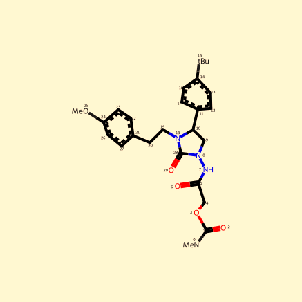 CNC(=O)OCC(=O)NN1CC(c2ccc(C(C)(C)C)cc2)N(CCc2ccc(OC)cc2)C1=O